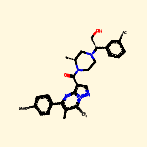 COc1ccc(-c2nc3c(C(=O)N4CCN([C@H](CO)c5cccc(C(C)=O)c5)C[C@H]4C)cnn3c(C(F)(F)F)c2C)cc1